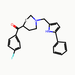 O=C(c1ccc(F)cc1)C1CCN(Cc2ccc(-c3ccccc3)[nH]2)CC1